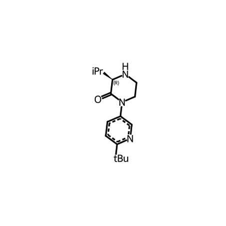 CC(C)[C@H]1NCCN(c2ccc(C(C)(C)C)nc2)C1=O